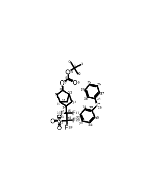 CC(C)(C)OC(=O)OC1CC2CC1CC2C(F)(F)C(F)(F)S(=O)(=O)[O-].c1ccc([I+]c2ccccc2)cc1